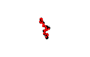 c1cc(-c2cccc(-c3cccc4c3oc3ccccc34)c2)cc(-c2ccc3c(c2)c2cc(-c4cccc(-c5cccc(-c6cccc7c6oc6ccccc67)c5)c4)ccc2c2nccnc32)c1